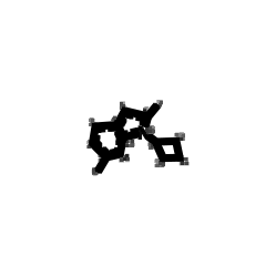 Cc1ccc2cc(C)n(C3CCC3)c2c1